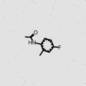 CC(=O)Nc1ccc(F)cc1C